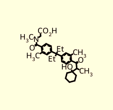 CCC(CC)(c1ccc(C(=O)C(C)C2(O)CCCCC2)c(C)c1)c1ccc(C(=O)N(C)CC(=O)O)c(C)c1